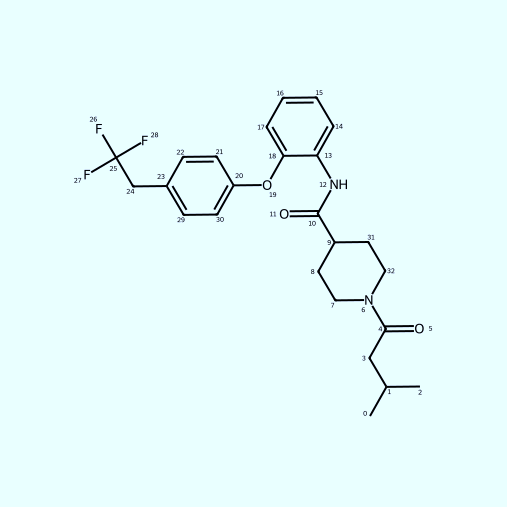 CC(C)CC(=O)N1CCC(C(=O)Nc2ccccc2Oc2ccc(CC(F)(F)F)cc2)CC1